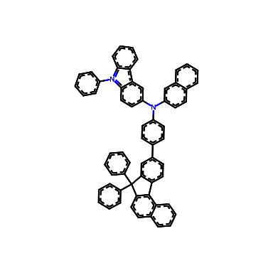 c1ccc(-n2c3ccccc3c3cc(N(c4ccc(-c5ccc6c(c5)C(c5ccccc5)(c5ccccc5)c5ccc7ccccc7c5-6)cc4)c4ccc5ccccc5c4)ccc32)cc1